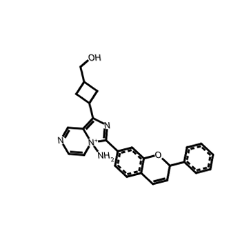 N[N+]12C=CN=CC1=C(C1CC(CO)C1)N=C2c1ccc2c(c1)OC(c1ccccc1)C=C2